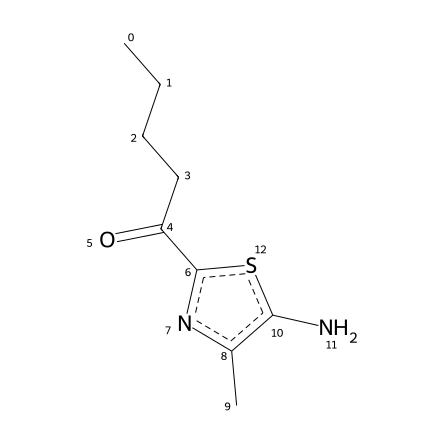 CCCCC(=O)c1nc(C)c(N)s1